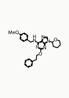 COc1ccc(CNc2nc(OCCc3ccccc3)nc3c2ncn3C2CCCCO2)cc1